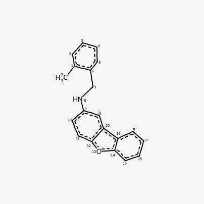 Cc1ccccc1CNc1ccc2oc3ccccc3c2c1